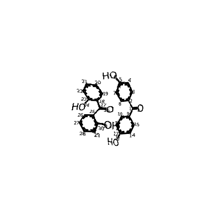 O=C(c1ccc(O)cc1)c1ccc(O)cc1.O=C(c1ccccc1O)c1ccccc1O